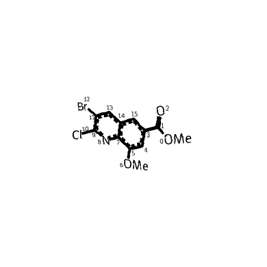 COC(=O)c1cc(OC)c2nc(Cl)c(Br)cc2c1